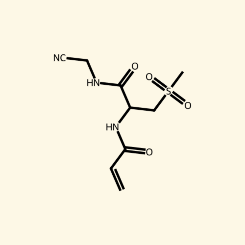 C=CC(=O)NC(CS(C)(=O)=O)C(=O)NCC#N